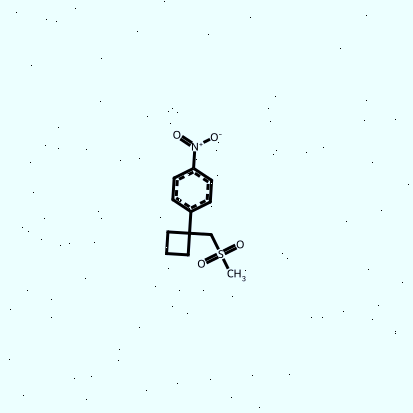 CS(=O)(=O)CC1(c2ccc([N+](=O)[O-])cc2)CCC1